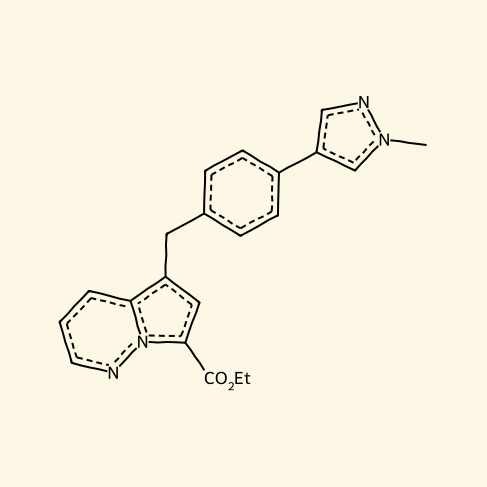 CCOC(=O)c1cc(Cc2ccc(-c3cnn(C)c3)cc2)c2cccnn12